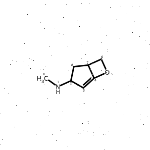 CNC1C=C2OCC2C1